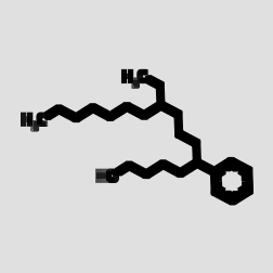 CCCCCCCC(CC)CCCC(CCCCO)c1ccccc1